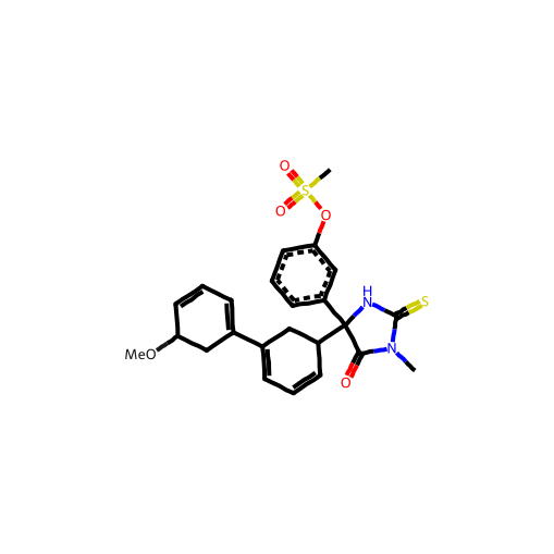 COC1C=CC=C(C2=CC=CC(C3(c4cccc(OS(C)(=O)=O)c4)NC(=S)N(C)C3=O)C2)C1